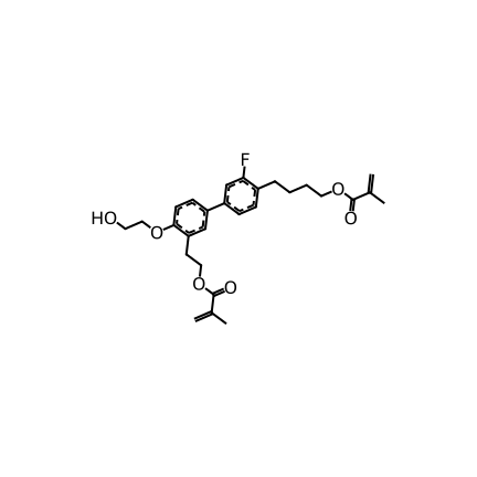 C=C(C)C(=O)OCCCCc1ccc(-c2ccc(OCCO)c(CCOC(=O)C(=C)C)c2)cc1F